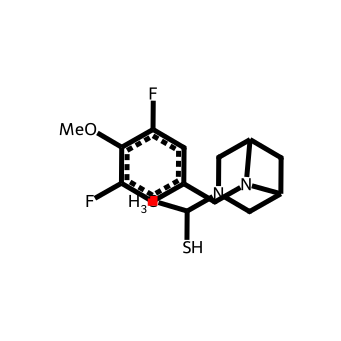 COc1c(F)cc(CN2C3CC2CN(C(C)S)C3)cc1F